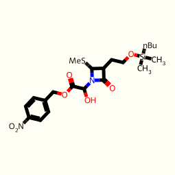 CCCC[Si](C)(C)OCCC1C(=O)N(C(O)C(=O)OCc2ccc([N+](=O)[O-])cc2)C1SC